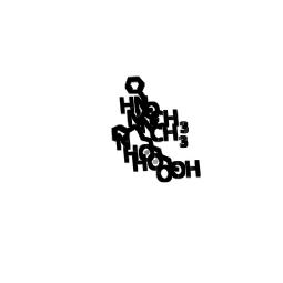 CC(C)n1c(C(=O)NCc2ccccc2)nc(-c2cccnc2)c1CC[C@@H](O)C[C@@H](O)CC(=O)O